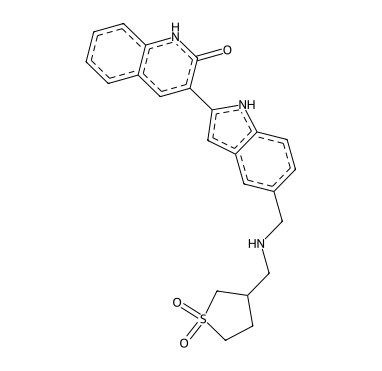 O=c1[nH]c2ccccc2cc1-c1cc2cc(CNCC3CCS(=O)(=O)C3)ccc2[nH]1